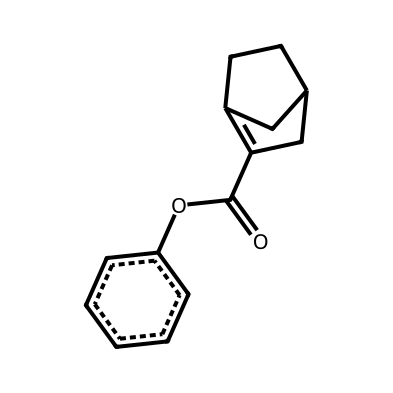 O=C(Oc1ccccc1)C1=C2CCC(C2)C1